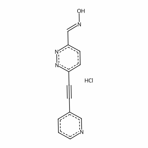 Cl.O/N=C/c1ccc(C#Cc2cccnc2)nn1